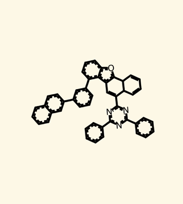 C1=CC2C(c3nc(-c4ccccc4)nc(-c4ccccc4)n3)=Cc3c(oc4cccc(-c5cccc(-c6ccc7ccccc7c6)c5)c34)C2C=C1